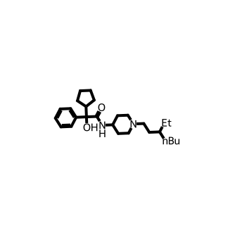 CCCCC(CC)CCN1CCC(NC(=O)C(O)(c2ccccc2)C2CCCC2)CC1